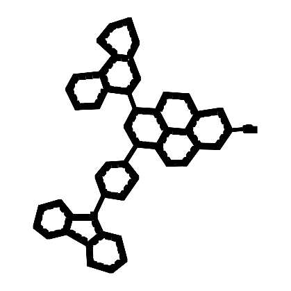 CC(C)(C)c1cc2ccc3c(-c4ccc(-n5c6ccccc6c6ccccc65)cc4)cc(-c4cc5ccccc5c5ccccc45)c4ccc(c1)c2c34